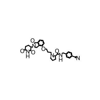 N#Cc1ccc(CNC(=O)C2CCCN2CCCOc2cccc3c2CN(C2CCC(=O)NC2=O)C3=O)cc1